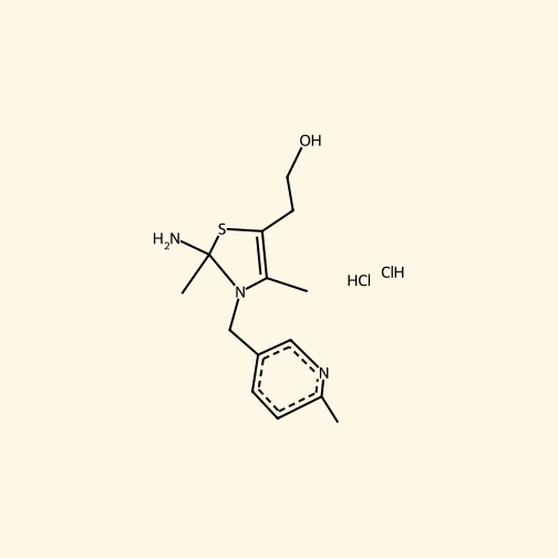 CC1=C(CCO)SC(C)(N)N1Cc1ccc(C)nc1.Cl.Cl